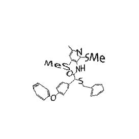 CSc1cc(C)nc(SC)c1NC(=O)C(SCc1ccccc1)c1ccc(Oc2ccccc2)cc1